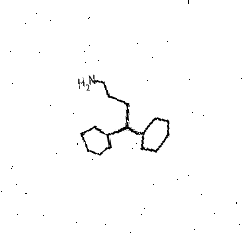 NCCCC(C1CCCCC1)C1CCCCC1